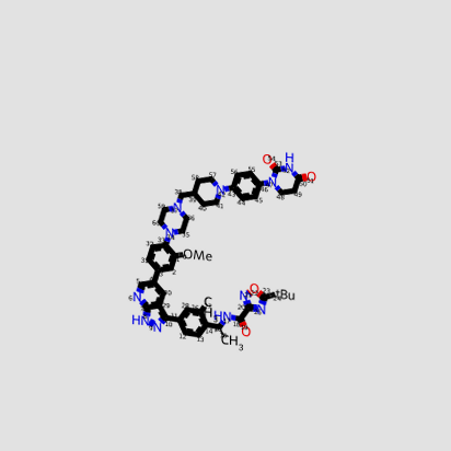 COc1cc(-c2cnc3[nH]nc(-c4ccc([C@@H](C)NC(=O)c5noc(C(C)(C)C)n5)c(C)c4)c3c2)ccc1N1CCN(CC2CCN(c3ccc(N4CCC(=O)NC4=O)cc3)CC2)CC1